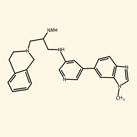 CNC(CNc1cncc(-c2ccc3ncn(C)c3c2)c1)CN1CCc2ccccc2C1